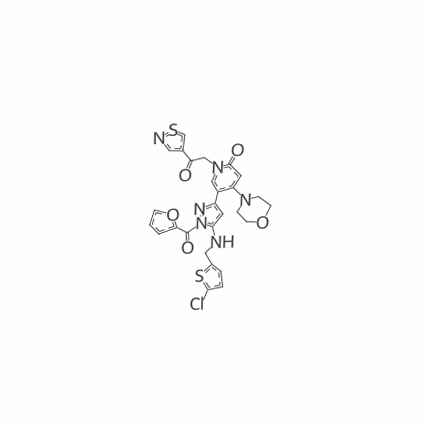 O=C(Cn1cc(-c2cc(NCc3ccc(Cl)s3)n(C(=O)c3ccco3)n2)c(N2CCOCC2)cc1=O)c1cnsc1